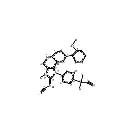 COc1ccccc1-c1ccc2ncc3c(c2c1)n(-c1ccc(C(C)(C)C#N)nc1)c(=NC#N)n3C